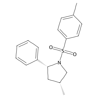 Cc1ccc(S(=O)(=O)N2C[C@H](C)C[C@@H]2c2ccccc2)cc1